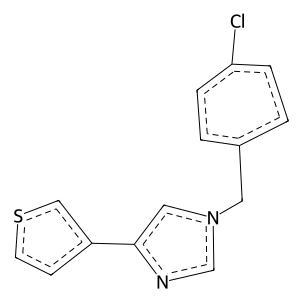 Clc1ccc(Cn2cnc(-c3ccsc3)c2)cc1